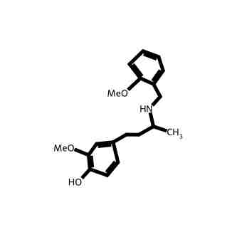 COc1cc(CCC(C)NCc2ccccc2OC)ccc1O